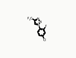 Fc1cc(Cl)ccc1-n1cc(C(F)(F)F)nn1